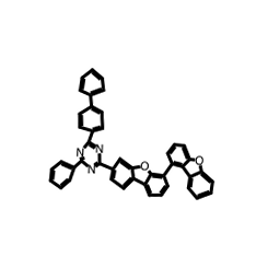 c1ccc(-c2ccc(-c3nc(-c4ccccc4)nc(-c4ccc5c(c4)oc4c(-c6cccc7oc8ccccc8c67)cccc45)n3)cc2)cc1